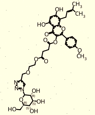 COc1ccc(-c2oc3c(CC=C(C)C)c(O)cc(O)c3c(=O)c2OC(=O)CCC(=O)OCCOCc2cn(C3O[C@H](CO)[C@@H](O)[C@H](O)[C@H]3O)nn2)cc1